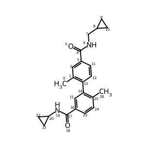 Cc1cc(C(=O)NCC2CC2)ccc1-c1cc(C(=O)NC2CC2)ccc1C